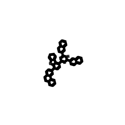 c1ccc2cc(C3=NC(c4ccc(-c5ccc6ccc7ccccc7c6c5)c5oc6ccccc6c45)=NC(c4ccc5ccccc5c4)N3)ccc2c1